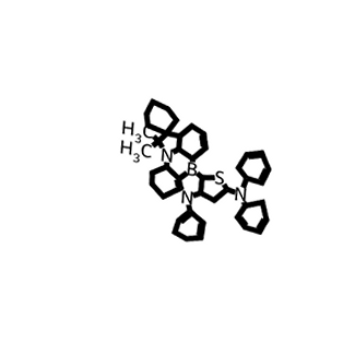 CC1(C)N2C3CCCC4=C3B(C3C=CCC(C32)C12CCCCC2)C1SC(N(C2C=CC=CC2)C2C=CC=CC2)CC1N4C1=CCCC=C1